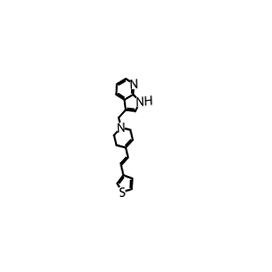 C1=C(/C=C/c2ccsc2)CCN(Cc2c[nH]c3ncccc23)C1